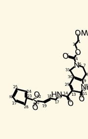 COCCOC(=O)N1CCc2[nH]c(=O)c(C(=O)NC/C=C/S(=O)(=O)c3ccccc3)cc2C1